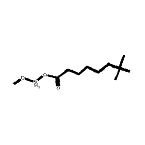 CO[SiH2]OC(=O)CCCCCC(C)(C)C